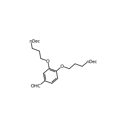 CCCCCCCCCCCCCOc1ccc(C=O)cc1OCCCCCCCCCCCCC